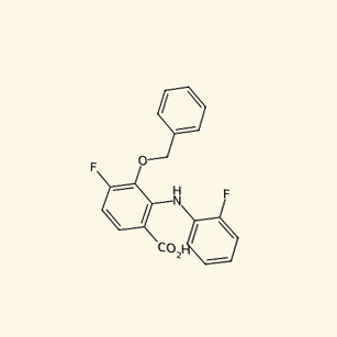 O=C(O)c1ccc(F)c(OCc2ccccc2)c1Nc1ccccc1F